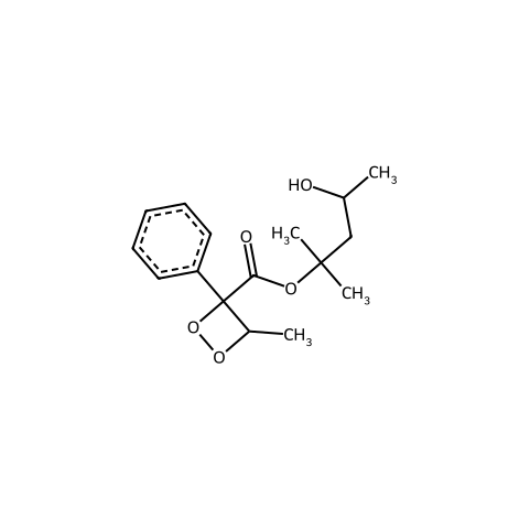 CC(O)CC(C)(C)OC(=O)C1(c2ccccc2)OOC1C